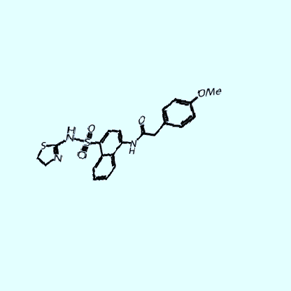 COc1ccc(CC(=O)Nc2ccc(S(=O)(=O)NC3=NCCS3)c3ccccc23)cc1